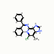 Cc1c(Cl)nc(N=C(c2ccccc2)c2ccccc2)c2nc[nH]c12